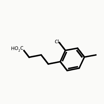 Cc1ccc(CCCC(=O)O)c(Cl)c1